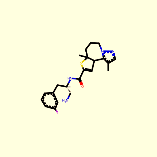 Cc1cnn2c1C1C=C(C(=O)N[C@H](CN)Cc3cccc(I)c3)SC1(C)CCC2